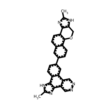 Cc1nc2c([nH]1)COc1c-2ccc2cc(-c3ccc4c(c3)c3cnncc3c3nc(C)[nH]c43)ccc12